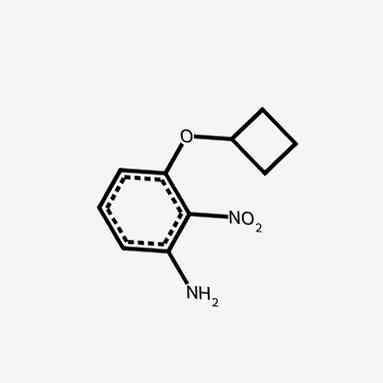 Nc1cccc(OC2CCC2)c1[N+](=O)[O-]